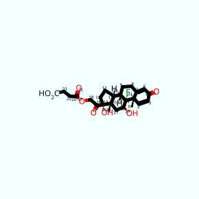 C[C@]12C=CC(=O)C=C1CC[C@H]1[C@@H]3CC[C@](O)(C(=O)COC(=O)CCC(=O)O)[C@@]3(C)C[C@H](O)[C@@]12F